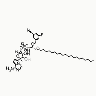 CCCCCCCCCCCCCCCCCCCCOC[C@H](COP(=O)(O)OC1[C@H]2O[C@@](C)(c3ccc4c(N)ncnn34)[C@H](O)[C@@]12O)OCc1cc(F)cc(C#N)c1